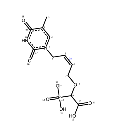 Cc1cn(C/C=C\COC(C(=O)O)P(=O)(O)O)c(=O)[nH]c1=O